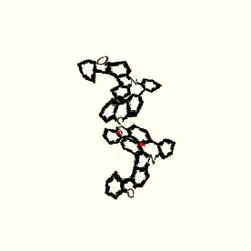 O=S12(c3ccccc3-c3cc(-c4ccccc4-n4c5ccccc5c5c6c(ccc54)oc4ccccc46)ccc31)c1ccccc1-c1cc(-c3ccccc3-n3c4ccccc4c4c5c(ccc43)oc3ccccc35)ccc12